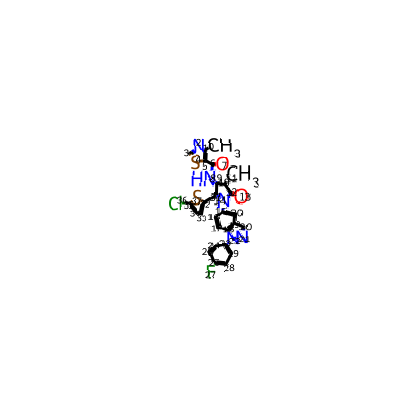 Cc1ncsc1C(=O)NC1C(C)C(=O)N(c2ccc3c(cnn3-c3ccc(F)cc3)c2)C1c1ccc(Cl)s1